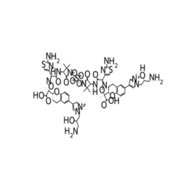 C[n+]1cc(-c2ccc3c(c2)CC[C@H]([C@](C)(O/N=C(\C(=O)N[C@@H]2C(=O)N(OS(=O)(=O)ON4C(=O)[C@@H](NC(=O)/C(=N\O[C@](C)(C(=O)O)[C@H]5CCc6cc(-c7cn(C[C@H](O)CN)[n+](C)c7)ccc6O5)c5csc(N)n5)C4(C)C)C2(C)C)c2csc(N)n2)C(=O)O)O3)cn1C[C@H](O)CN